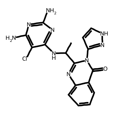 CC(Nc1nc(N)nc(N)c1Cl)c1nc2ccccc2c(=O)n1-c1cc[nH]n1